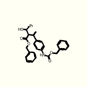 CC(C)C(O)C(C(=O)OCc1ccccc1)C(C)c1ccc(NC(=O)OCc2ccccc2)cc1